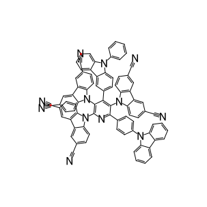 N#Cc1ccc2c(c1)c1cc(C#N)ccc1n2-c1nc(-c2ccc(-n3c4ccccc4c4ccccc43)cc2)c(-n2c3ccc(C#N)cc3c3cc(C#N)ccc32)c(-c2ccc3c(c2)c2ccccc2n3-c2ccccc2)c1-n1c2ccc(C#N)cc2c2cc(C#N)ccc21